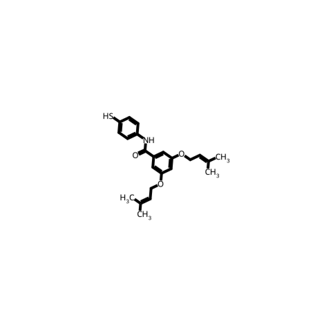 CC(C)=CCOc1cc(OCC=C(C)C)cc(C(=O)Nc2ccc(S)cc2)c1